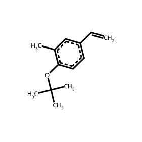 C=Cc1ccc(OC(C)(C)C)c(C)c1